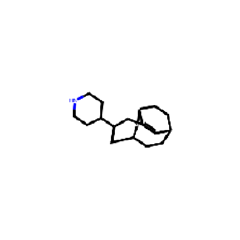 C1=C2CC(C3CCNCC3)CC3CCC1CCC2C3